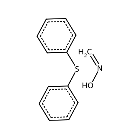 C=NO.c1ccc(Sc2ccccc2)cc1